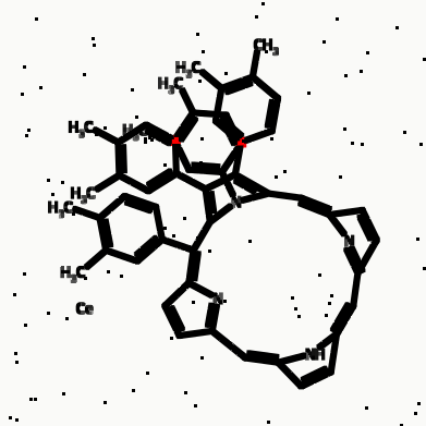 Cc1ccc(-c2c(-c3ccc(C)c(C)c3)c3c(-c4ccc(C)c(C)c4)c4nc(cc5ccc(cc6nc(cc2n3-c2ccc(C)c(C)c2)C=C6)[nH]5)C=C4)cc1C.[Ce]